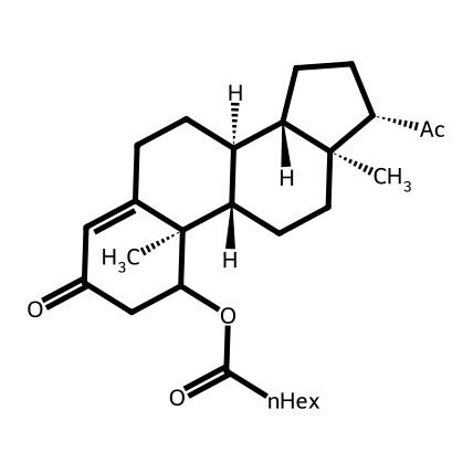 CCCCCCC(=O)OC1CC(=O)C=C2CC[C@H]3[C@@H]4CC[C@H](C(C)=O)[C@@]4(C)CC[C@@H]3[C@]21C